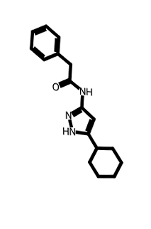 O=C(Cc1ccccc1)Nc1cc(C2CCCCC2)[nH]n1